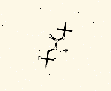 CC(C)(C)OS(=O)OCC(F)(F)F.F